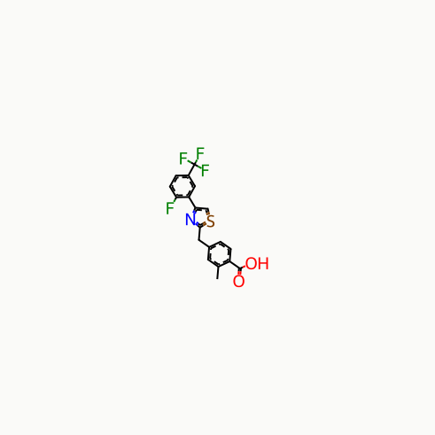 Cc1cc(Cc2nc(-c3cc(C(F)(F)F)ccc3F)cs2)ccc1C(=O)O